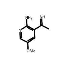 COc1cnc(N)c(C(C)=N)c1